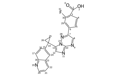 O=C(O)c1ccc(-c2cnc3ncc(C4(c5ccc6ncccc6c5)CC4)n3n2)cc1F